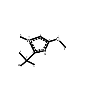 COc1cn(C)c(C(C)(C)C)n1